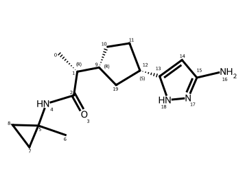 C[C@@H](C(=O)NC1(C)CC1)[C@@H]1CC[C@H](c2cc(N)n[nH]2)C1